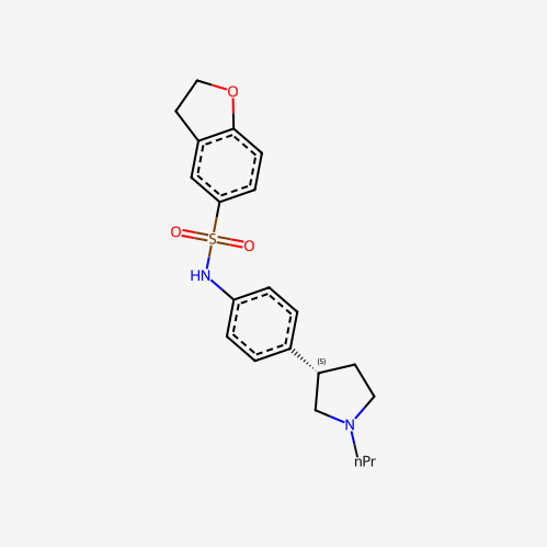 CCCN1CC[C@@H](c2ccc(NS(=O)(=O)c3ccc4c(c3)CCO4)cc2)C1